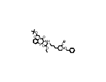 CCOC(=O)[C@@H](CCCCC1CCN(OCc2ccccc2)C(=C=O)C1)N[C@H]1CSc2ccccc2N(CC(=O)OC(C)(C)C)C1=O